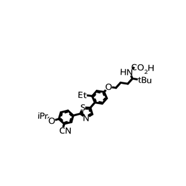 CCc1cc(OCCCC(NC(=O)O)C(C)(C)C)ccc1-c1cnc(-c2ccc(OC(C)C)c(C#N)c2)s1